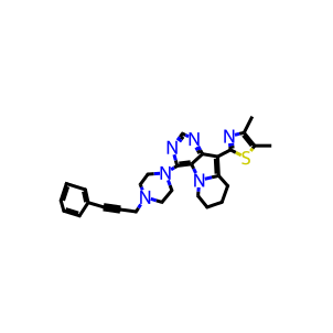 Cc1nc(-c2c3n(c4c(N5CCN(CC#Cc6ccccc6)CC5)ncnc24)CCCC3)sc1C